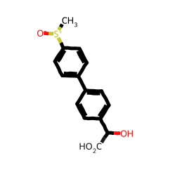 C[S+]([O-])c1ccc(-c2ccc(C(O)C(=O)O)cc2)cc1